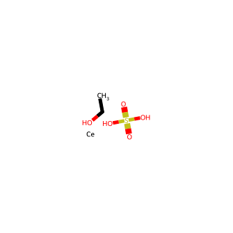 CCO.O=S(=O)(O)O.[Ce]